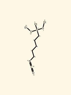 CCO[Si](CC)(CCCCCN=C=O)OCC